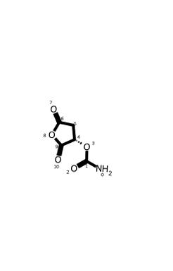 NC(=O)O[C@H]1CC(=O)OC1=O